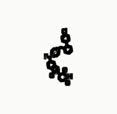 O=C1CCC(N2Cc3cc(C(F)N4CCN(Cc5ccccc5-c5ccc(Cl)cc5)CC4)ccc3C2=O)C(=O)N1